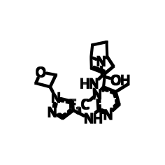 Cc1cnc(Nc2cnn(C3COC3)c2)nc1C1=CC2CCC(C1)N2C(O)NCC(F)(F)F